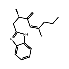 C=C(/C=C(/F)CCC)[C@H](C)Cc1nc2ccccc2[nH]1